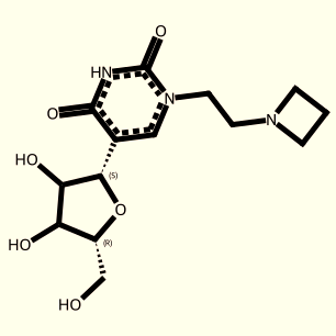 O=c1[nH]c(=O)n(CCN2CCC2)cc1[C@@H]1O[C@H](CO)C(O)C1O